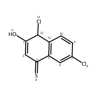 OC1=CC(=S)c2cc(Cl)ccc2C1Cl